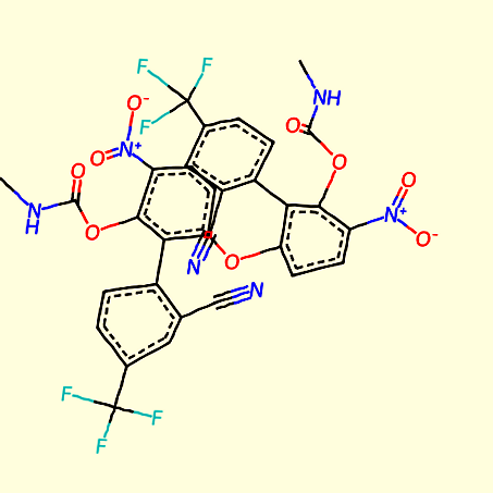 CNC(=O)Oc1c([N+](=O)[O-])ccc(Oc2ccc([N+](=O)[O-])c(OC(=O)NC)c2-c2ccc(C(F)(F)F)cc2C#N)c1-c1ccc(C(F)(F)F)cc1C#N